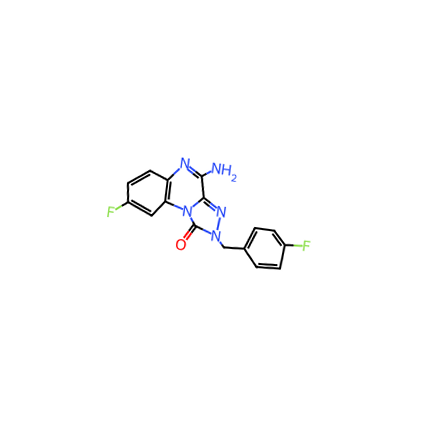 Nc1nc2ccc(F)cc2n2c(=O)n(Cc3ccc(F)cc3)nc12